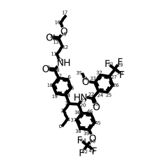 CCCC(c1ccc(C(=O)NCCC(=O)OCC)cc1)C(NC(=O)c1ccc(C(F)(F)F)cc1OC)c1ccc(OC(F)(F)F)cc1